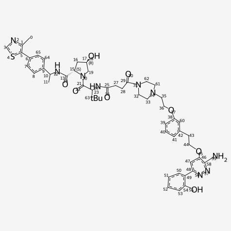 Cc1ncsc1-c1ccc(C(C)NC(=O)[C@@H]2C[C@@H](O)CN2C(=O)C(NC(=O)CCC(=O)N2CCN(CCOc3cccc(CCOc4cc(-c5ccccc5O)nnc4N)c3)CC2)C(C)(C)C)cc1